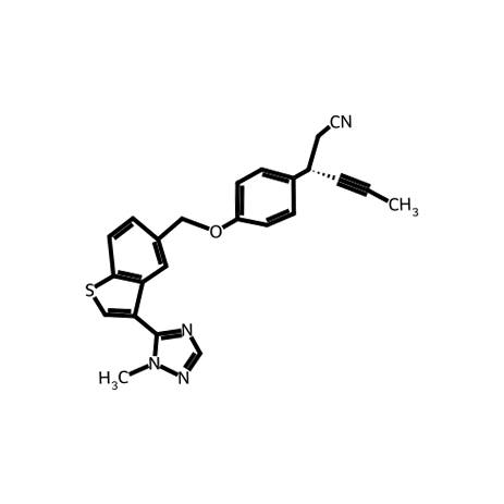 CC#C[C@@H](CC#N)c1ccc(OCc2ccc3scc(-c4ncnn4C)c3c2)cc1